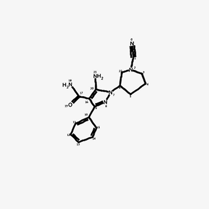 N#CN1CCCC(n2nc(-c3ccccc3)c(C(N)=O)c2N)C1